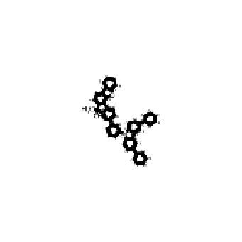 CC1(C)c2cc(-c3cccc(-n4c5ccc(-c6ccccc6)cc5c5cc(-c6ccccc6)ccc54)c3)ccc2-c2c1ccc1c2oc2ccccc21